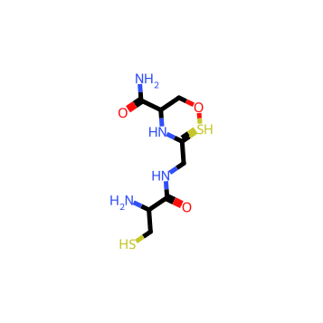 NC(=O)C1CO[SH]=C(CNC(=O)C(N)CS)N1